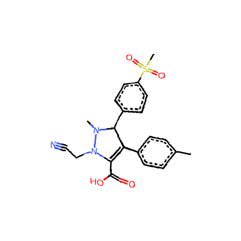 Cc1ccc(C2=C(C(=O)O)N(CC#N)N(C)C2c2ccc(S(C)(=O)=O)cc2)cc1